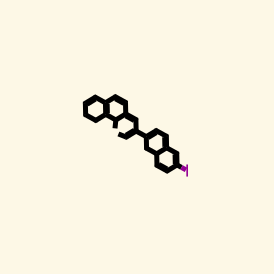 C/C=C(\C=C1\C=CC2=C(CCC=C2)C1C)C1=CC=C2C=C(I)C=CC2C1